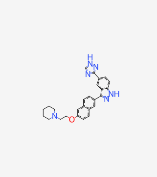 c1nc(-c2ccc3[nH]nc(-c4ccc5cc(OCCN6CCCCC6)ccc5c4)c3c2)n[nH]1